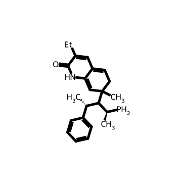 CCc1cc2c([nH]c1=O)=CC(C)(C([C@H](C)P)[C@@H](C)c1ccccc1)CC=2